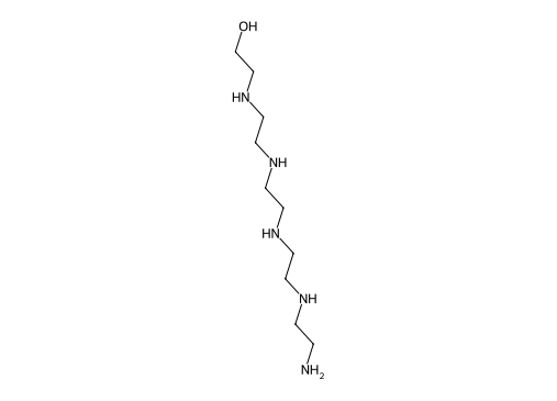 NCCNCCNCCNCCNCCO